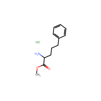 COC(=O)C(N)CCCc1ccccc1.Cl